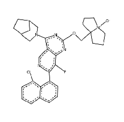 [O-][N+]12CCCC1(COc1nc(N3CC4CCC(C4)C3)c3cnc(-c4cccc5cccc(Cl)c45)c(F)c3n1)CCC2